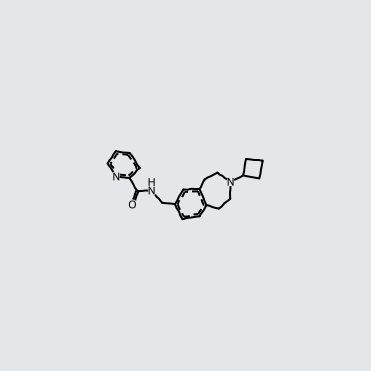 O=C(NCc1ccc2c(c1)CCN(C1CCC1)CC2)c1ccccn1